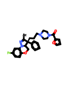 CC(=O)C1=NN2c3cc(F)ccc3OCC2[C@@]1(CCCN1CCN(C(=O)c2ccco2)CC1)c1ccccc1